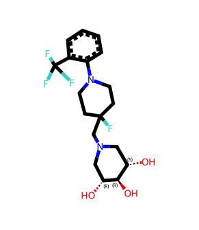 O[C@H]1[C@H](O)CN(CC2(F)CCN(c3ccccc3C(F)(F)F)CC2)C[C@@H]1O